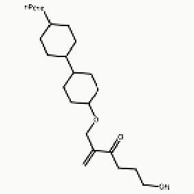 C=C(COC1CCC(C2CCC(CCCCC)CC2)CC1)C(=O)CCCO